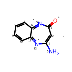 Nc1cc(=O)nc2ccccc2n1